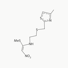 CS/C(=C/[N+](=O)[O-])NCCSCc1nc(C)cs1